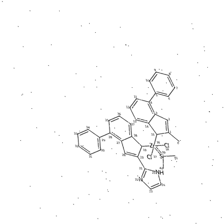 CC1=Cc2c(-c3ccccc3)cccc2[CH]1[Zr]([Cl])([Cl])([CH]1C(c2ncc[nH]2)=Cc2c(-c3ccccc3)cccc21)=[Si](C)C